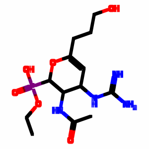 CCOP(=O)(O)C1OC(CCCO)=CC(NC(=N)N)C1NC(C)=O